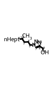 CCCCCCC[C](C)CCCn1cc(CO)nn1